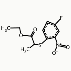 CCOC(=O)C(C)Sc1ccc(F)cc1[N+](=O)[O-]